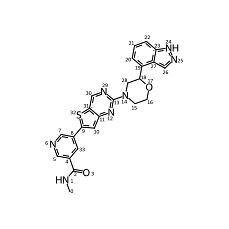 CNC(=O)c1cncc(-c2cc3nc(N4CCOC(c5cccc6[nH]ncc56)C4)ncc3s2)c1